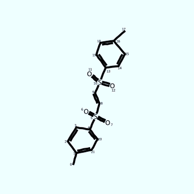 Cc1ccc(S(=O)(=O)C=CS(=O)(=O)c2ccc(C)cc2)cc1